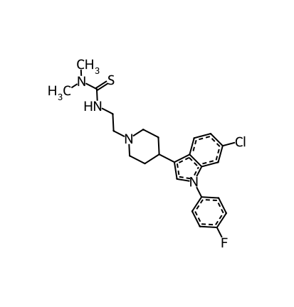 CN(C)C(=S)NCCN1CCC(c2cn(-c3ccc(F)cc3)c3cc(Cl)ccc23)CC1